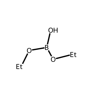 CCOB(O)OCC